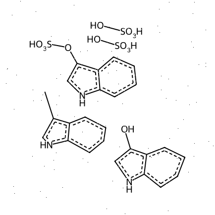 Cc1c[nH]c2ccccc12.O=S(=O)(O)O.O=S(=O)(O)O.O=S(=O)(O)Oc1c[nH]c2ccccc12.Oc1c[nH]c2ccccc12